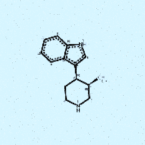 C[C@H]1CNCC[C@H]1c1c[nH]c2ccccc12